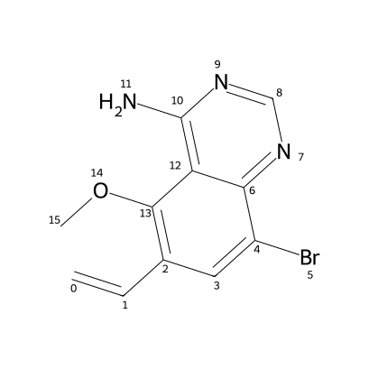 C=Cc1cc(Br)c2ncnc(N)c2c1OC